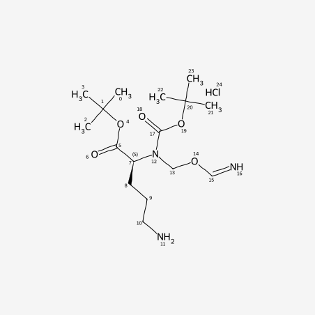 CC(C)(C)OC(=O)[C@H](CCCN)N(COC=N)C(=O)OC(C)(C)C.Cl